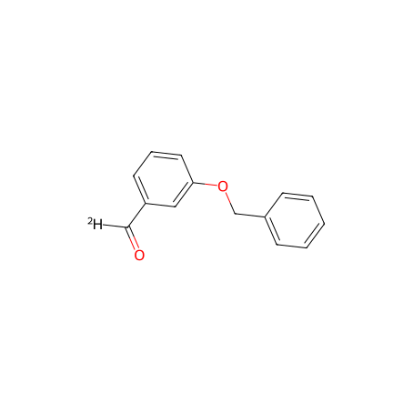 [2H]C(=O)c1cccc(OCc2ccccc2)c1